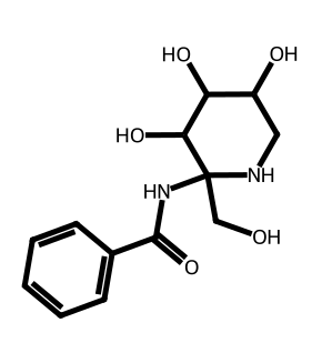 O=C(NC1(CO)NCC(O)C(O)C1O)c1ccccc1